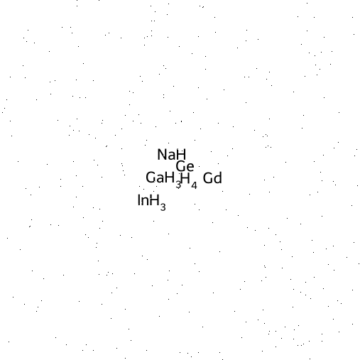 [GaH3].[Gd].[GeH4].[InH3].[NaH]